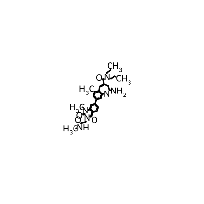 CCCN(CCC)C(=O)C1=Cc2c(C)cc(-c3ccc4c(=O)n(CC(=O)NC)c(=O)n(C)c4c3)cc2N=C(N)C1